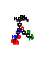 CC(C)(C)/C=C/c1ccc(C(Cc2ccc(C(=O)NCCS(=O)(=O)O)cc2)C(=O)Nc2ccc(-c3ccc(C(F)(F)F)cc3Cl)cc2)cc1